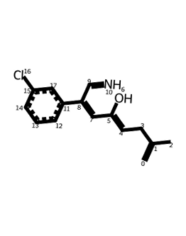 C=C(C)C/C=C(O)/C=C(\C=N)c1cccc(Cl)c1